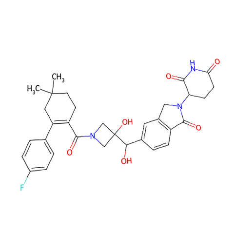 CC1(C)CCC(C(=O)N2CC(O)(C(O)c3ccc4c(c3)CN(C3CCC(=O)NC3=O)C4=O)C2)=C(c2ccc(F)cc2)C1